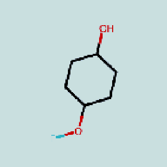 OC1CCC(OF)CC1